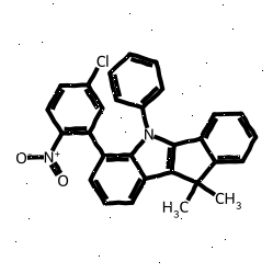 CC1(C)c2ccccc2-c2c1c1cccc(-c3cc(Cl)ccc3[N+](=O)[O-])c1n2-c1ccccc1